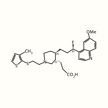 COc1ccc2nccc([C@H](F)CC[C@@H]3CCN(CCSc4sccc4C)C[C@H]3CCC(=O)O)c2c1